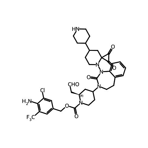 Nc1c(Cl)cc(COC(=O)N2CCC(N3CCc4ccccc4N(N4CCC(C5CCNCC5)CC45C(=O)C5=O)C3=O)C[C@@H]2CC=O)cc1C(F)(F)F